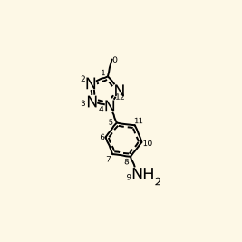 Cc1nnn(-c2ccc(N)cc2)n1